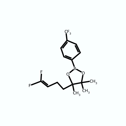 CC1(C)OB(c2ccc(C(F)(F)F)cc2)OC1(C)CCC=C(F)F